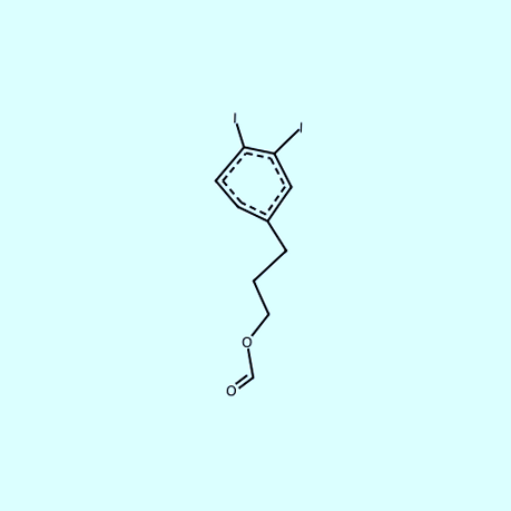 O=COCCCc1ccc(I)c(I)c1